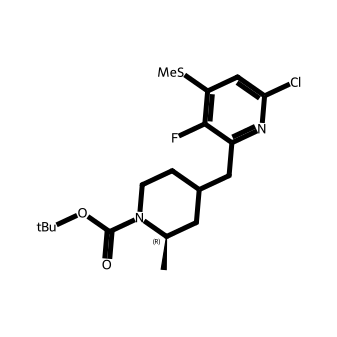 CSc1cc(Cl)nc(CC2CCN(C(=O)OC(C)(C)C)[C@H](C)C2)c1F